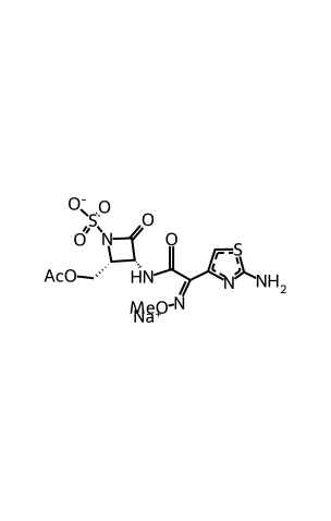 CON=C(C(=O)N[C@H]1C(=O)N(S(=O)(=O)[O-])[C@H]1COC(C)=O)c1csc(N)n1.[Na+]